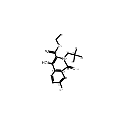 CCOC(=O)c1c(O)c2ccc(F)cc2c(=O)n1CC(C)(C)C